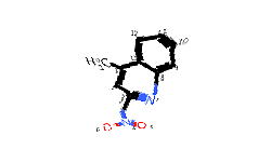 Cc1cc([N+](=O)[O-])nc2ccccc12